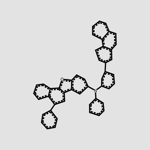 c1ccc(-c2cc3c4cc(N(c5ccccc5)c5cccc(-c6ccc7c(ccc8ccccc87)c6)c5)ccc4oc3c3ccccc23)cc1